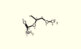 CC(COC(F)(F)F)OC(N)=O